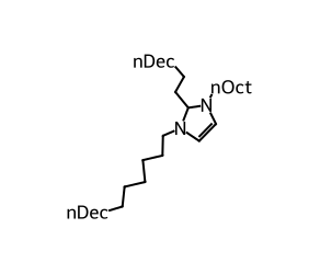 CCCCCCCCCCCCCCCCN1C=CN(CCCCCCCC)C1CCCCCCCCCCCC